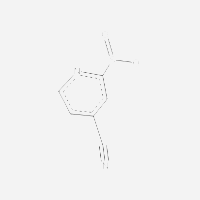 N#Cc1ccnc(S([O])=O)c1